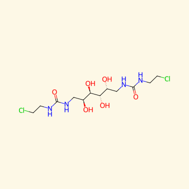 O=C(NCCCl)NC[C@@H](O)[C@H](O)[C@H](O)[C@@H](O)CNC(=O)NCCCl